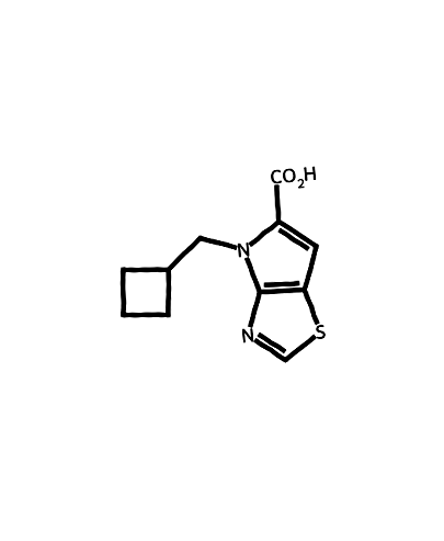 O=C(O)c1cc2scnc2n1CC1CCC1